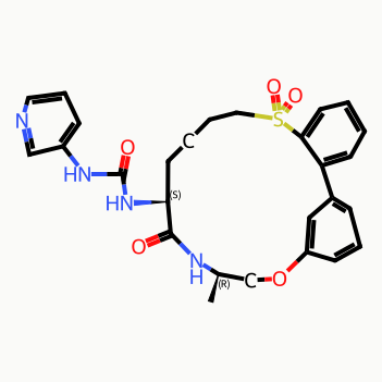 C[C@@H]1COc2cccc(c2)-c2ccccc2S(=O)(=O)CCCC[C@H](NC(=O)Nc2cccnc2)C(=O)N1